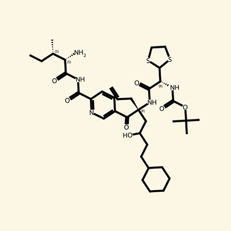 C=CC[C@](CC(O)CCC1CCCCC1)(NC(=O)[C@@H](NC(=O)OC(C)(C)C)C1SCCS1)C(=O)c1ccc(C(=O)NC(=O)[C@@H](N)[C@@H](C)CC)nc1